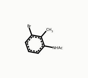 CC(=O)Nc1cccc(Br)c1C